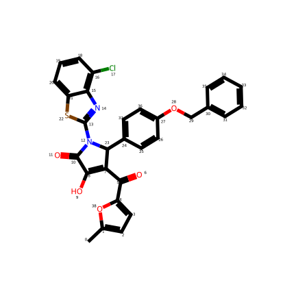 Cc1ccc(C(=O)C2=C(O)C(=O)N(c3nc4c(Cl)cccc4s3)C2c2ccc(OCc3ccccc3)cc2)o1